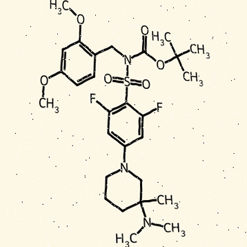 COc1ccc(CN(C(=O)OC(C)(C)C)S(=O)(=O)c2c(F)cc(N3CCCC(C)(N(C)C)C3)cc2F)c(OC)c1